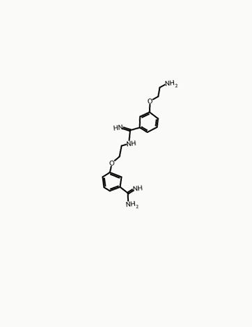 N=C(N)c1cccc(OCCNC(=N)c2cccc(OCCN)c2)c1